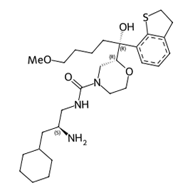 COCCCC[C@@](O)(c1cccc2c1SCC2)[C@H]1CN(C(=O)NC[C@@H](N)CC2CCCCC2)CCO1